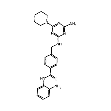 Nc1nc(NCc2ccc(C(=O)Nc3ccccc3N)cc2)nc(N2CCCCC2)n1